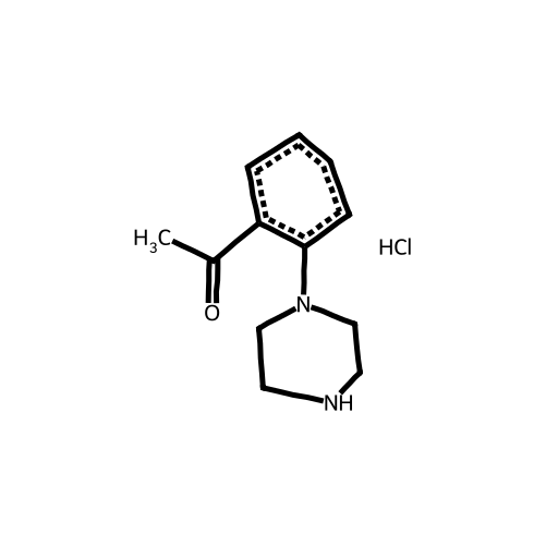 CC(=O)c1ccccc1N1CCNCC1.Cl